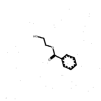 O=C(O[CH]CO)c1ccccc1